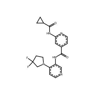 O=C(Nc1cnccc1N1CCC(F)(F)C1)c1ccnc(NC(=O)C2CC2)c1